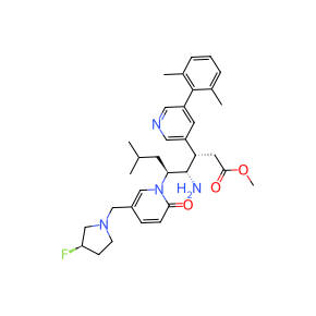 COC(=O)C[C@@H](c1cncc(-c2c(C)cccc2C)c1)[C@H](N)[C@H](CC(C)C)n1cc(CN2CC[C@@H](F)C2)ccc1=O